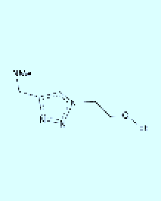 CCOCCn1cc(CNC)nn1